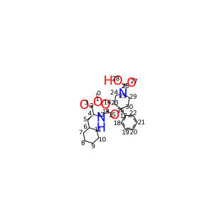 COC(=O)[C@H](CC1CCCCC1)NC(=O)OC1(c2ccccc2)CCN(C(=O)O)CC1